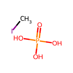 CI.O=P(O)(O)O